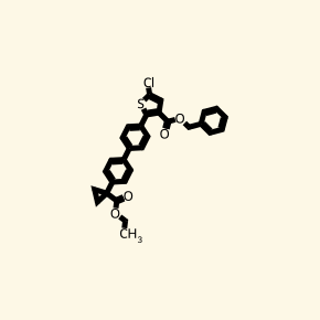 CCOC(=O)C1(c2ccc(-c3ccc(-c4sc(Cl)cc4C(=O)OCc4ccccc4)cc3)cc2)CC1